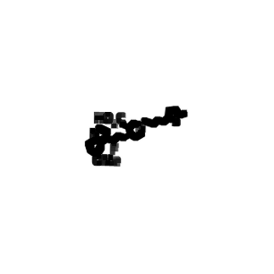 COc1ccc2nccc([C@H](F)CC[C@@H]3CCN(CCCCc4ccc(C)s4)C[C@@H]3CC(=O)O)c2c1